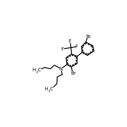 CCCCN(CCCC)c1cc(C(F)(F)F)c(-c2cccc(Br)c2)cc1Br